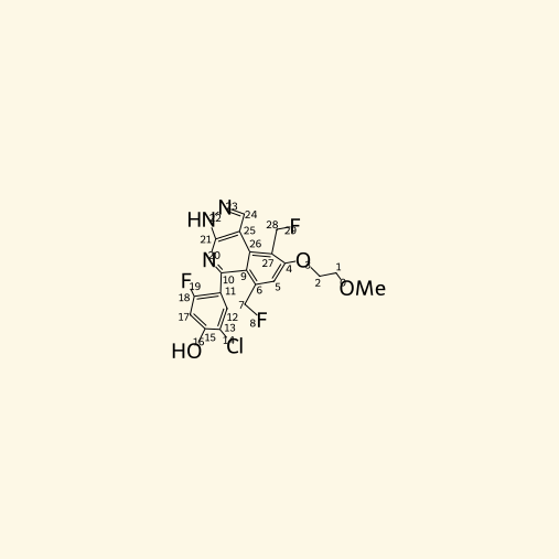 COCCOc1cc(CF)c2c(-c3cc(Cl)c(O)cc3F)nc3[nH]ncc3c2c1CF